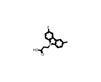 Cc1ccc2c(c1)c1cc(F)ccc1n2CCC(=O)O